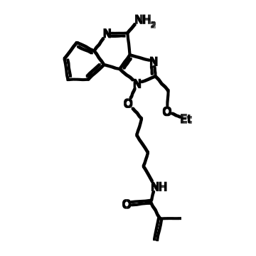 C=C(C)C(=O)NCCCCOn1c(COCC)nc2c(N)nc3ccccc3c21